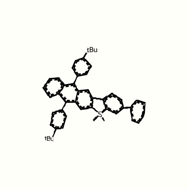 CC(C)(C)c1ccc(-c2c3ccccc3c(-c3ccc(C(C)(C)C)cc3)c3cc4c(cc23)-c2ccc(-c3ccccc3)cc2S4(C)C)cc1